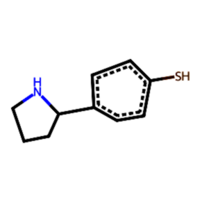 Sc1ccc(C2CCCN2)cc1